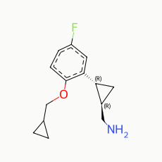 NC[C@@H]1C[C@H]1c1cc(F)ccc1OCC1CC1